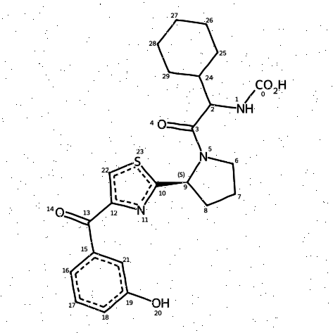 O=C(O)NC(C(=O)N1CCC[C@H]1c1nc(C(=O)c2cccc(O)c2)cs1)C1CCCCC1